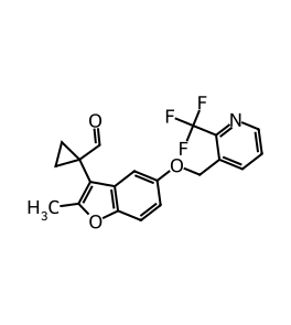 Cc1oc2ccc(OCc3cccnc3C(F)(F)F)cc2c1C1(C=O)CC1